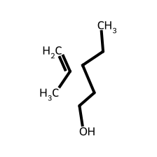 C=CC.CCCCCO